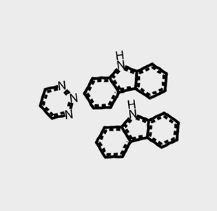 c1ccc2c(c1)[nH]c1ccccc12.c1ccc2c(c1)[nH]c1ccccc12.c1cnnnc1